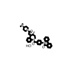 CN(C)C1CCN(C(=O)C=C2c3ccccc3N(C(=O)c3ccc(NC(=O)c4ccccc4-c4ccccc4)cc3)CCC2(F)F)CC1.Cl